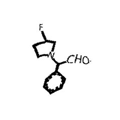 O=[C]C(c1ccccc1)N1CCC(F)C1